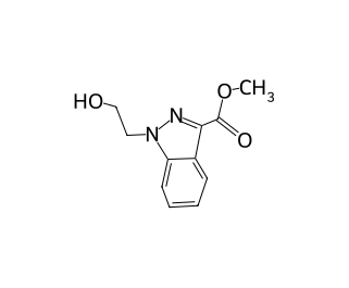 COC(=O)c1nn(CCO)c2ccccc12